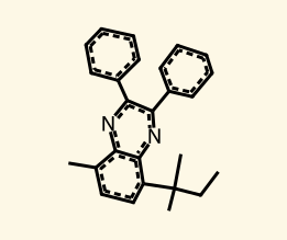 CCC(C)(C)c1ccc(C)c2nc(-c3ccccc3)c(-c3ccccc3)nc12